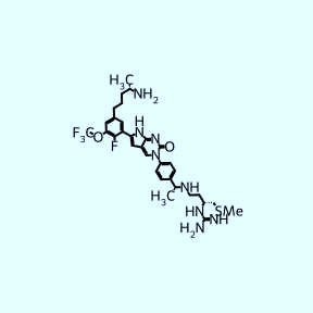 CSC[C@@H](CCN[C@@H](C)c1ccc(-n2cc3cc(-c4cc(CCC[C@H](C)N)cc(OC(F)(F)F)c4F)[nH]c3nc2=O)cc1)NC(=N)N